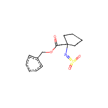 O=C(OCc1ccccc1)C1(N=S(=O)=O)CCCC1